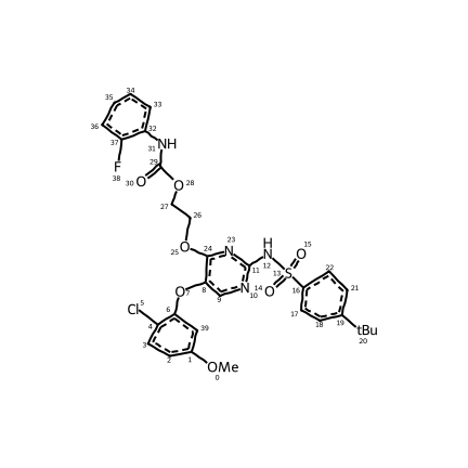 COc1ccc(Cl)c(Oc2cnc(NS(=O)(=O)c3ccc(C(C)(C)C)cc3)nc2OCCOC(=O)Nc2ccccc2F)c1